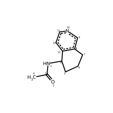 CC(=O)NC1CCCc2cnccc21